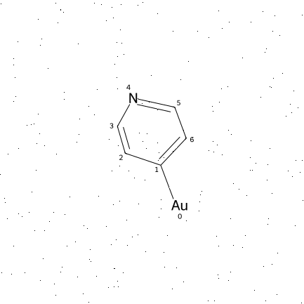 [Au][c]1ccncc1